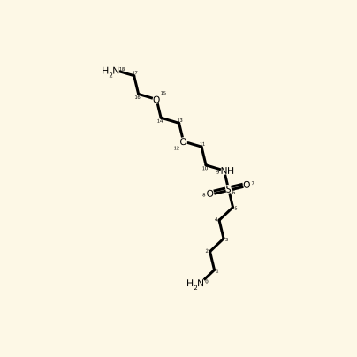 NCCCCCS(=O)(=O)NCCOCCOCCN